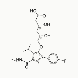 CCNC(=O)c1nn(-c2ccc(F)cc2)c(OC[C@@H](O)C[C@@H](O)CC(=O)O)c1C(C)C